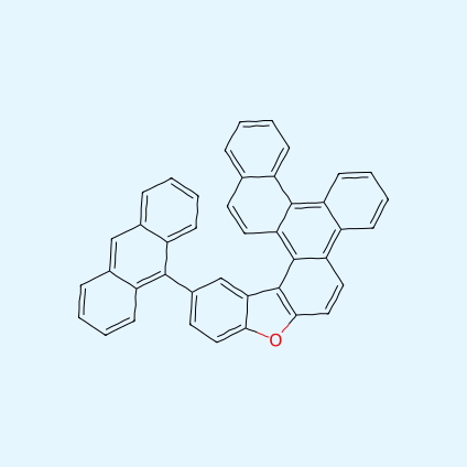 c1ccc2c(-c3ccc4oc5ccc6c7ccccc7c7c8ccccc8ccc7c6c5c4c3)c3ccccc3cc2c1